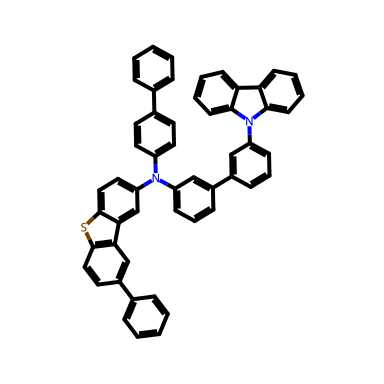 c1ccc(-c2ccc(N(c3cccc(-c4cccc(-n5c6ccccc6c6ccccc65)c4)c3)c3ccc4sc5ccc(-c6ccccc6)cc5c4c3)cc2)cc1